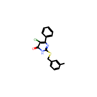 Cc1cccc(CSc2nc(-c3ccccc3)c(Cl)c(=O)[nH]2)c1